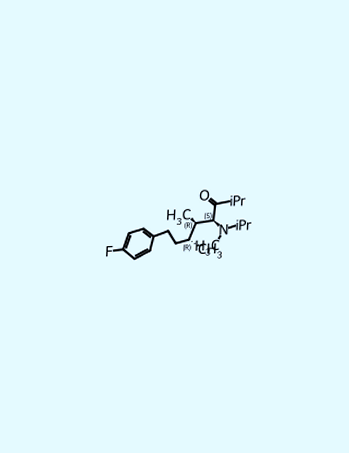 CC(C)C(=O)[C@H]([C@H](C)[C@H](C)CCc1ccc(F)cc1)N(C)C(C)C